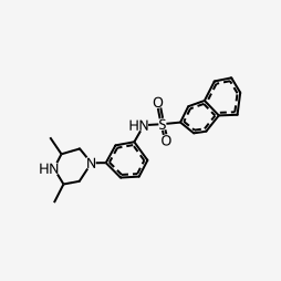 CC1CN(c2cccc(NS(=O)(=O)c3ccc4ccccc4c3)c2)CC(C)N1